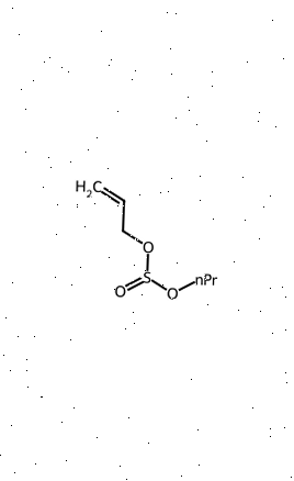 C=CCOS(=O)OCCC